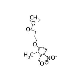 CCOC(=O)CCCOc1ccc([N+](=O)[O-])c(C=O)c1C